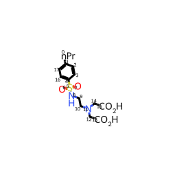 CCCc1ccc(S(=O)(=O)NCCN(CC(=O)O)CC(=O)O)cc1